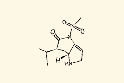 CC(C)[C@H]1C(=O)N(S(C)(=O)=O)C2=CCN[C@@H]21